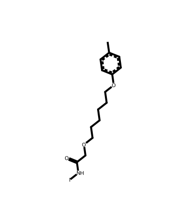 Cc1ccc(OCCCCCCOCC(=O)NI)cc1